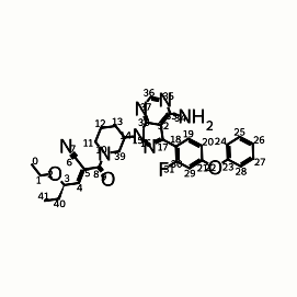 CCO[C@@H](C=C(C#N)C(=O)N1CCCC(n2nc(-c3ccc(Oc4ccccc4)cc3F)c3c(N)ncnc32)C1)CC